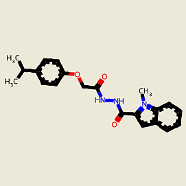 CC(C)c1ccc(OCC(=O)NNC(=O)c2cc3ccccc3n2C)cc1